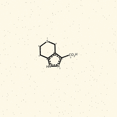 O=C(O)c1n[nH]c2c1CSCC2